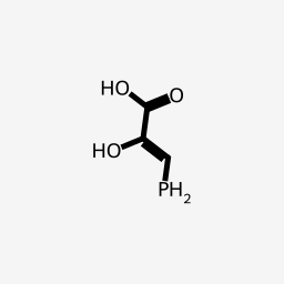 O=C(O)/C(O)=C/P